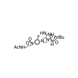 CC(=O)NCC1CN(c2ccc(N3CCN(C(=O)NC(=O)OC(C)(C)C)C(C(=N)N)C3)c(F)c2)C(=O)O1